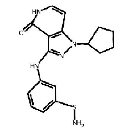 NSc1cccc(Nc2nn(C3CCCC3)c3cc[nH]c(=O)c23)c1